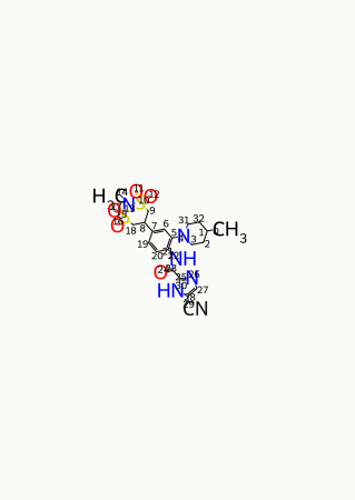 CC1CCN(c2cc(C3CS(=O)(=O)N(C)S(=O)(=O)C3)ccc2NC(=O)c2ncc(C#N)[nH]2)CC1